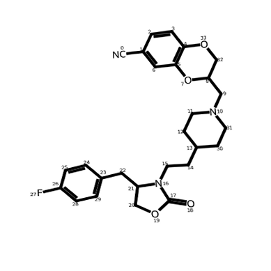 N#Cc1ccc2c(c1)OC(CN1CCC(CCN3C(=O)OCC3Cc3ccc(F)cc3)CC1)CO2